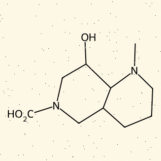 CN1CCCC2CN(C(=O)O)CC(O)C21